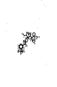 CCC1=NN=C(C(=NOC)C(=O)OC)C1(C)CON=C(C)c1cccc(C(F)(F)F)c1